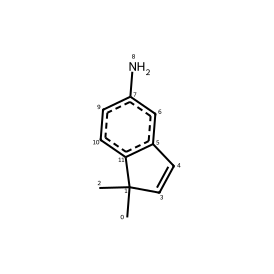 CC1(C)C=Cc2cc(N)ccc21